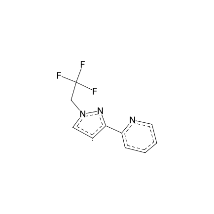 FC(F)(F)Cn1c[c]c(-c2ccccn2)n1